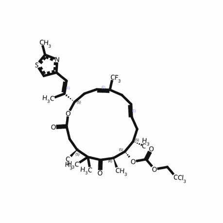 C/C(=C\c1csc(C)n1)[C@@H]1C/C=C(/C(F)(F)F)C/C=C/C[C@H](C)[C@H](OC(=O)OCC(Cl)(Cl)Cl)[C@@H](C)C(=O)C(C)(C)[C@@H](C)CC(=O)O1